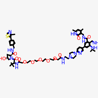 Cc1cc(C)c(CNC(=O)c2cc(-c3ccc(N4CCN(CCNC(=O)COCCOCCOCCOCCOCC(=O)N[C@H](C(=O)N5C[C@H](O)C[C@H]5C(=O)NCc5ccc(-c6scnc6C)cc5)C(C)(C)C)CC4)nc3)cc(NC(C)C)c2C=N)c(=O)[nH]1